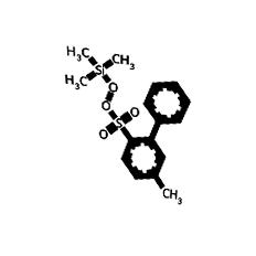 Cc1ccc(S(=O)(=O)OO[Si](C)(C)C)c(-c2ccccc2)c1